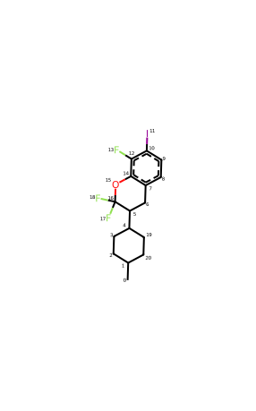 CC1CCC(C2Cc3ccc(I)c(F)c3OC2(F)F)CC1